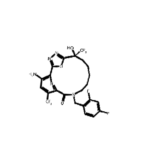 Nc1cc(C(F)(F)F)c2nc1-c1nnc(o1)[C@@](O)(C(F)(F)F)CCCCCN(Cc1ccc(F)cc1F)C2=O